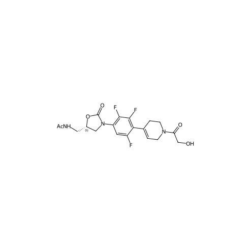 CC(=O)NC[C@H]1CN(c2cc(F)c(C3=CCN(C(=O)CO)CC3)c(F)c2F)C(=O)O1